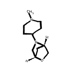 CN1CCC(N2C[C@@H]3C[C@H]2CO3)CC1